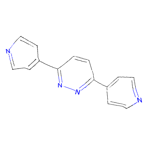 c1cc(-c2ccc(-c3ccncc3)nn2)ccn1